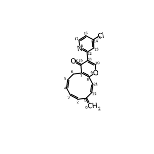 C=C1/C=C\C=C/Cc2c(occ(-c3cc(Cl)ccn3)c2=O)/C=C\1